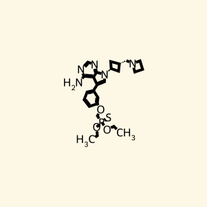 CCOP(=S)(COc1cccc(-c2cn([C@H]3C[C@@H](CN4CCC4)C3)c3ncnc(N)c23)c1)OCC